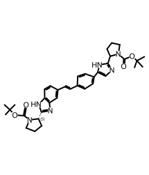 CC(C)(C)OC(=O)N1CCCC1c1ncc(-c2ccc(C=Cc3ccc4[nH]c([C@@H]5CCCN5C(=O)OC(C)(C)C)nc4c3)cc2)[nH]1